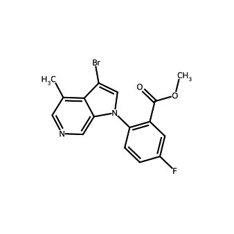 COC(=O)c1cc(F)ccc1-n1cc(Br)c2c(C)cncc21